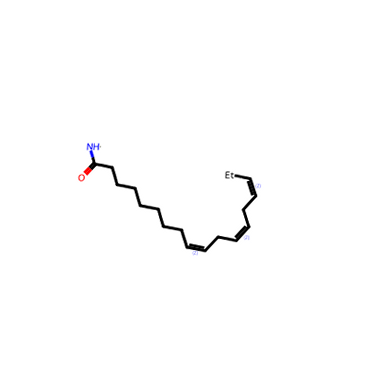 CC/C=C\C/C=C\C/C=C\CCCCCCCC([NH])=O